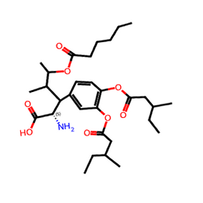 CCCCCC(=O)OC(C)C(C)C(c1ccc(OC(=O)CC(C)CC)c(OC(=O)CC(C)CC)c1)[C@H](N)C(=O)O